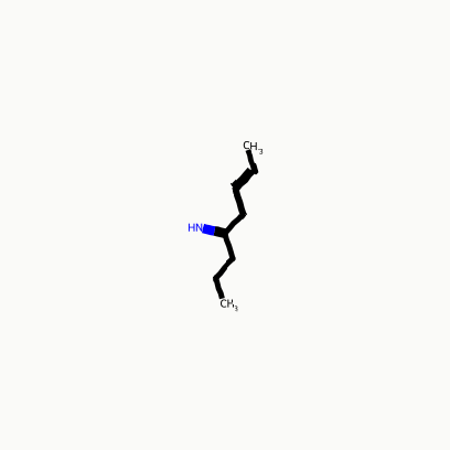 C/C=C/CC(=N)CCC